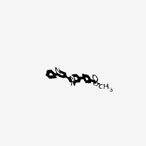 CCOC(=O)c1ccc(-c2ccn3c(-c4ccnc(-c5ccccc5)c4)cnc3c2)cc1